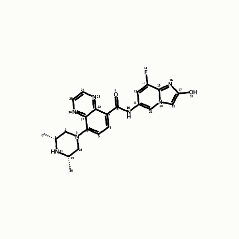 C[C@@H]1CN(c2ccc(C(=O)Nc3cc(F)c4nc(O)cn4c3)c3nccnc23)C[C@H](C)N1